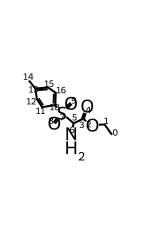 CCOC(=O)C(N)S(=O)(=O)c1ccc(C)cc1